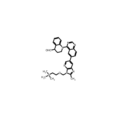 Cc1nc2cc(-c3ccc4ncnc(N5CCC(C=O)c6ccccc65)c4c3)cnc2n1COCC[Si](C)(C)C